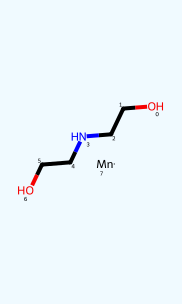 OCCNCCO.[Mn]